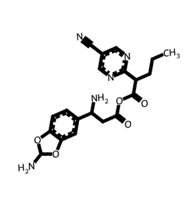 CCCC(C(=O)OC(=O)CC(N)c1ccc2c(c1)OC(N)O2)c1ncc(C#N)cn1